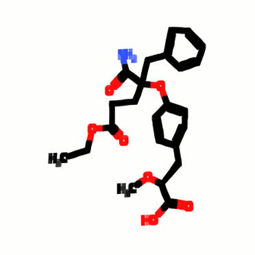 CCOC(=O)CCC(Cc1ccccc1)(Oc1ccc(C[C@H](OC)C(=O)O)cc1)C(N)=O